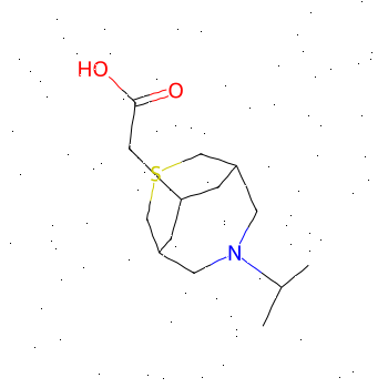 CC(C)N1CC2CSCC(CC(CC(=O)O)C2)C1